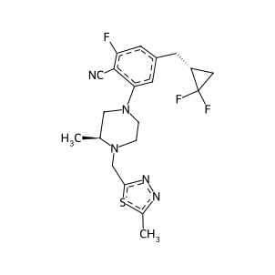 Cc1nnc(CN2CCN(c3cc(C[C@@H]4CC4(F)F)cc(F)c3C#N)C[C@@H]2C)s1